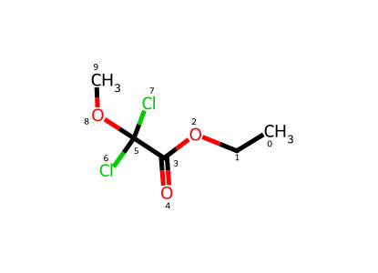 CCOC(=O)C(Cl)(Cl)OC